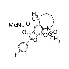 CNC(=O)Oc1c(-c2ccc(F)cc2)oc2nc3c(cc12)C(C)CCCCCN3S(C)(=O)=O